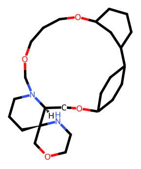 C1COCN2CCC[C@@]3(COCCN3)[C@@H]2COC2CCC(CC2)C2CCCC(C2)OC1